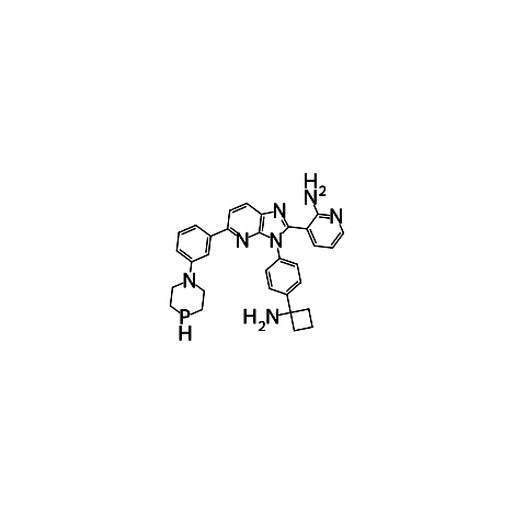 Nc1ncccc1-c1nc2ccc(-c3cccc(N4CCPCC4)c3)nc2n1-c1ccc(C2(N)CCC2)cc1